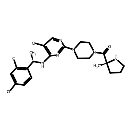 C[C@@H](Nc1nc(N2CCN(C(=O)[C@@]3(C)CCCN3)CC2)ncc1Cl)c1ccc(Cl)cc1Cl